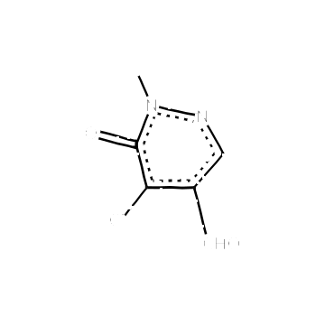 Cn1ncc(C=O)c(Cl)c1=O